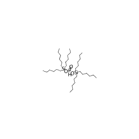 CCCCCC[Si](CCCCCC)(CCCCCC)O[PH](=O)O[Si](CCCCCC)(CCCCCC)CCCCCC